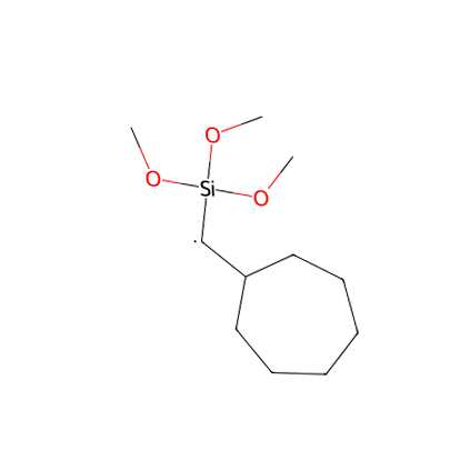 CO[Si]([CH]C1CCCCCC1)(OC)OC